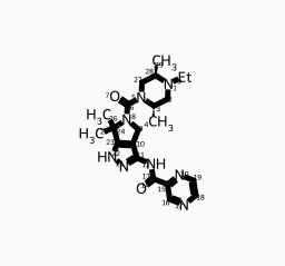 CCN1C[C@H](C)N(C(=O)N2Cc3c(NC(=O)c4cnccn4)n[nH]c3C2(C)C)C[C@H]1C